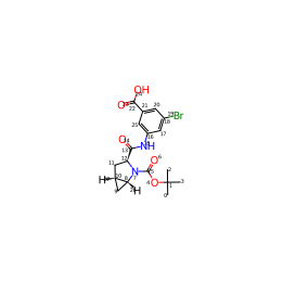 CC(C)(C)OC(=O)N1[C@@H]2C[C@@H]2C[C@H]1C(=O)Nc1cc(Br)cc(C(=O)O)c1